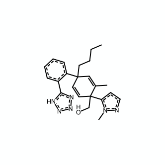 CCCCC1(c2ccccc2-c2nnn[nH]2)C=CC(CO)(c2ccnn2C)C(C)=C1